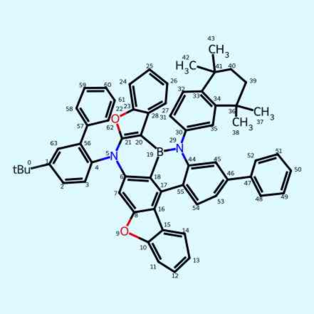 CC(C)(C)c1ccc(N2c3cc4oc5ccccc5c4c4c3B(c3c2oc2ccccc32)N(c2ccc3c(c2)C(C)(C)CCC3(C)C)c2cc(-c3ccccc3)ccc2-4)c(-c2ccccc2)c1